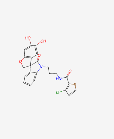 O=C(NCCCN1C(=O)C2(COc3cc(O)c(O)cc32)c2ccccc21)c1sccc1Cl